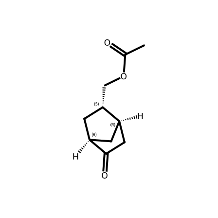 CC(=O)OC[C@H]1C[C@H]2C[C@@H]1CC2=O